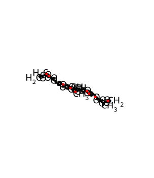 C=CC(=O)OCC(C)OC(=O)CCC(=O)OCCc1ccc(OC(=O)[C@H]2CC[C@H](C(=O)Oc3cc(C)c(OC(=O)[C@H]4CC[C@H](C(=O)Oc5ccc(CCOC(=O)CCC(=O)OC(C)COC(=O)C=C)cc5)CC4)c(C)c3C)CC2)cc1